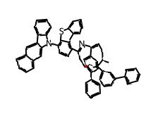 CC1C/C=C(c2ccc(-c3ccccc3)cc2)/N=C(/c2ccc(-n3c4ccccc4c4cc5ccccc5cc43)c3sc4ccccc4c23)CCCC1c1cccc(-c2ccccc2)c1